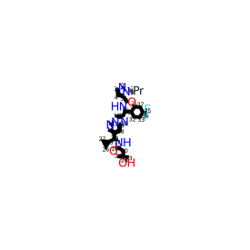 CC(C)n1nccc1C(=O)N[C@H](c1cn2ncc([C@@H](NC(=O)CC(C)(C)O)C3CC3)cc2n1)C1CCC(F)(F)CC1